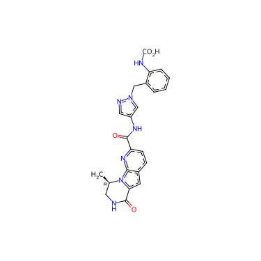 C[C@@H]1CNC(=O)c2cc3ccc(C(=O)Nc4cnn(Cc5ccccc5NC(=O)O)c4)nc3n21